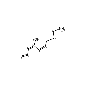 C=C/C=C(O)\C=C/CCCN